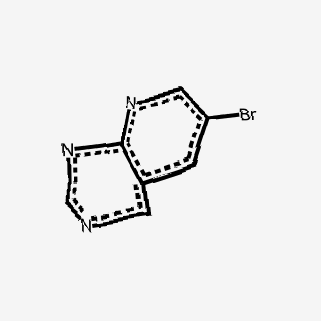 Brc1cnc2ncncc2c1